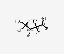 [CH2]CC(F)C(F)(F)[C@H](F)C(F)(F)C(F)(F)F